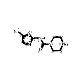 O=C(Nc1ncc(Br)s1)N1CCNCC1